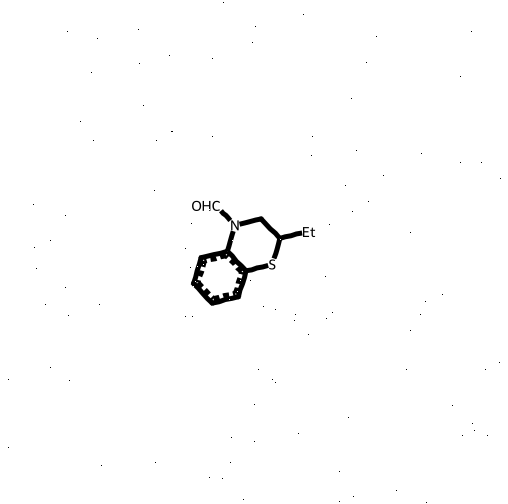 CCC1CN(C=O)c2ccccc2S1